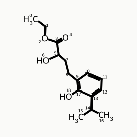 CCOC(=O)C(O)CCc1cccc(C(C)C)c1O